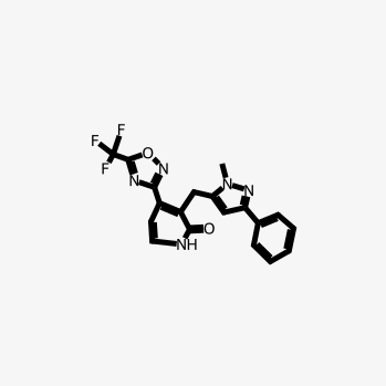 Cn1nc(-c2ccccc2)cc1Cc1c(-c2noc(C(F)(F)F)n2)cc[nH]c1=O